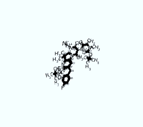 C[C@H](N=[N+]=[N-])[C@H](NC(=O)[C@H](C)N(C)C(=O)OC(C)(C)C)C(=O)N1CC(C)(C)c2nc(O[Si](C)(C)C(C)(C)C)c(Cc3ccc(F)cc3)cc21